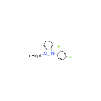 CCCCCCCN1CN(c2ccc(F)cc2F)c2ccccc21